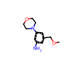 COCc1cc(N)cc(N2CCOCC2)c1